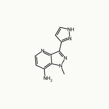 Cn1nc(-c2cc[nH]n2)c2nccc(N)c21